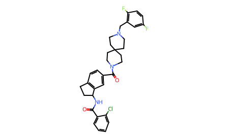 O=C(NC1CCc2ccc(C(=O)N3CCC4(CCN(Cc5cc(F)ccc5F)CC4)CC3)cc21)c1ccccc1Cl